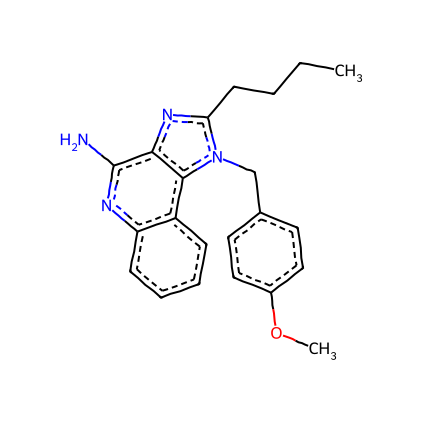 CCCCc1nc2c(N)nc3ccccc3c2n1Cc1ccc(OC)cc1